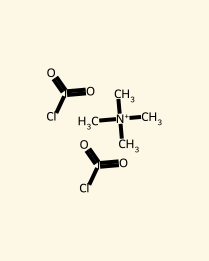 C[N+](C)(C)C.O=I(=O)Cl.O=I(=O)Cl